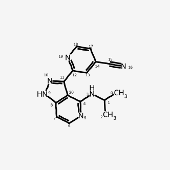 CC(C)Nc1nccc2[nH]nc(-c3cc(C#N)ccn3)c12